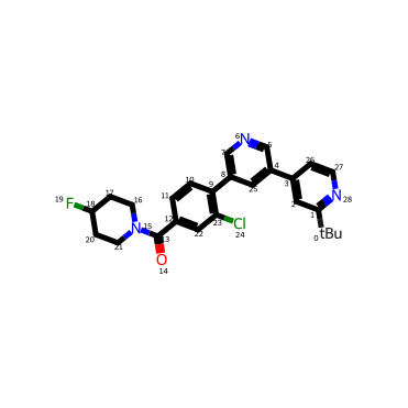 CC(C)(C)c1cc(-c2cncc(-c3ccc(C(=O)N4CCC(F)CC4)cc3Cl)c2)ccn1